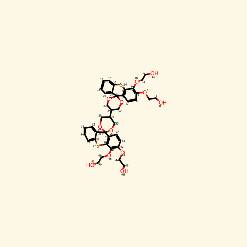 OCCOc1ccc2c(c1OCCO)Sc1ccccc1C21OCC(C2COC3(OC2)c2ccccc2Sc2c3ccc(OCCO)c2OCCO)CO1